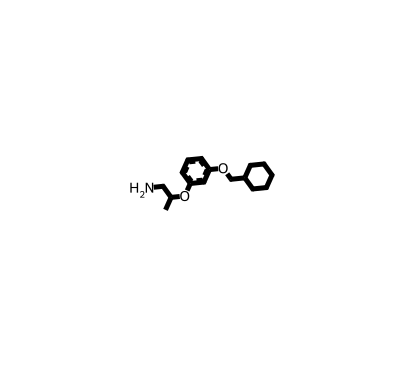 CC(CN)Oc1cccc(OCC2CCCCC2)c1